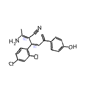 C=C(/C=C(\C(C#N)=C(\C)N)c1ccc(Cl)cc1Cl)c1ccc(O)cc1